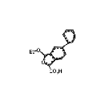 CCOc1oc(C(=O)O)c2ccc(-c3ccccc3)cc12